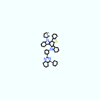 c1ccc(-c2nc(-c3cccc(-n4c5ccccc5c5c6sc7ccccc7c6c6c(c7ccccc7n6-c6ccccc6)c54)c3)nc3ccccc23)cc1